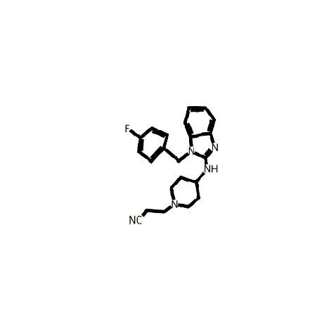 N#CCCN1CCC(Nc2nc3ccccc3n2Cc2ccc(F)cc2)CC1